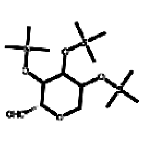 C[Si](C)(C)OC1CO[C@H](C=O)C(O[Si](C)(C)C)C1O[Si](C)(C)C